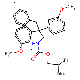 CCCCC(CC)COC(=O)NCC(Cc1ccccc1)(c1cccc(OC(F)(F)F)c1)c1cccc(OC(F)(F)F)c1